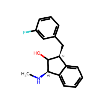 CN[C@@H]1c2ccccc2[C@H](Cc2cccc(F)c2)C1O